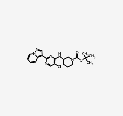 CC(C)(C)OC(=O)N1CCC[C@@H](Nc2nc(-c3cnn4ccccc34)ncc2Cl)C1